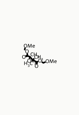 COCOC(=O)C(C)(C)C(C)(C)C(=O)OCOC